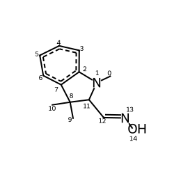 CN1c2ccccc2C(C)(C)C1C=NO